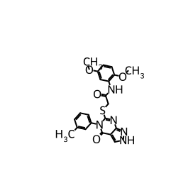 COc1ccc(OC)c(NC(=O)CSc2nc3n[nH]cc3c(=O)n2-c2cccc(C)c2)c1